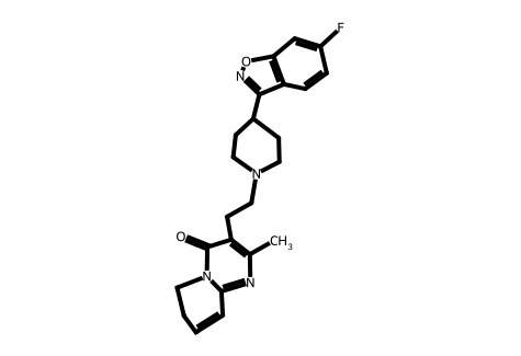 Cc1nc2n(c(=O)c1CCN1CCC(c3noc4cc(F)ccc34)CC1)CCC=C2